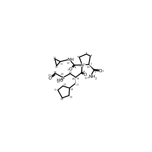 NC(=O)[C@@H]1CCC[N+]1(C(=O)NC1CC1)C(=O)[C@H](CC1CCCC1)CN(O)C=O